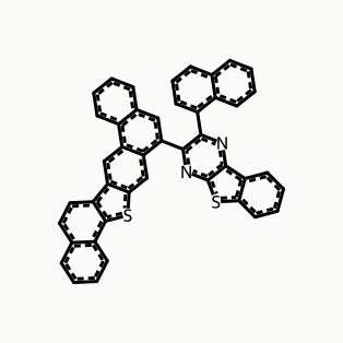 c1ccc2c(-c3nc4c(nc3-c3cc5ccccc5c5cc6c(cc35)sc3c5ccccc5ccc63)sc3ccccc34)cccc2c1